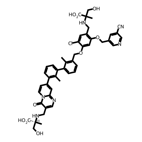 Cc1c(COc2cc(OCc3cncc(C#N)c3)c(CNC(C)(CO)C(=O)O)cc2Cl)cccc1-c1cccc(-c2ccn3c(=O)c(CN[C@@](C)(CO)C(=O)O)cnc3c2)c1C